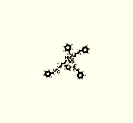 O=C(NCCCC[C@H](NP(=O)(CCCCc1ccccc1)OCc1ccccc1)C(=O)N1CCC[C@H]1C(=O)OCc1ccccc1)OCc1ccccc1